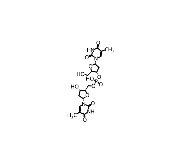 Cc1cn([C@@H]2C[C@H](OP(=O)(O)OC[C@H]3O[C@H](n4cc(C)c(=O)[nH]c4=O)C[C@@H]3O)[C@@H](CO)O2)c(=O)[nH]c1=O